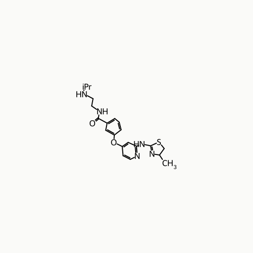 CC1CSC(Nc2cc(Oc3cccc(C(=O)NCCNC(C)C)c3)ccn2)=N1